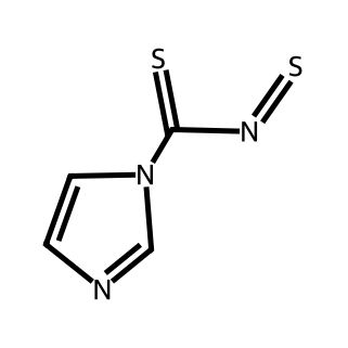 S=NC(=S)n1ccnc1